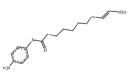 CCCCCCCCC=CCCCCCCCC(=O)Sc1ccc(N)cc1